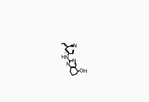 C=C/C(=C\C(C#N)=C/C)Nc1ncc2c(n1)CCCC2O